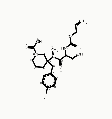 C=CCOC(=O)NC(CO)C(=O)N(C)C1(Cc2ccc(Cl)cc2)CCCN(C(=O)O)C1